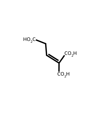 O=C(O)CC=C(C(=O)O)C(=O)O